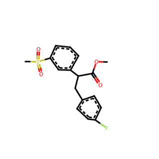 COC(=O)C(Cc1ccc(F)cc1)c1cccc(S(C)(=O)=O)c1